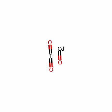 [O]=[Cd].[O]=[Ti]=[O]